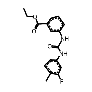 CCOC(=O)c1cccc(NC(=O)Nc2ccc(C)c(F)c2)c1